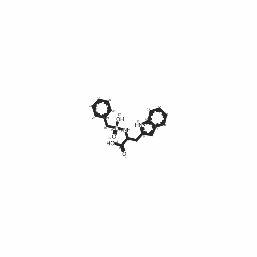 O=C(O)C(Cc1cc2ccccc2[nH]1)NP(=O)(O)Cc1ccccc1